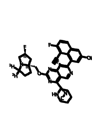 [2H]C1([2H])CC[C@]2(COc3nc(N4CC5CCC4CN5)c4cnc(-c5cc(O)cc6ccc(F)c(C#C)c56)c(F)c4n3)C[C@H](F)CN12